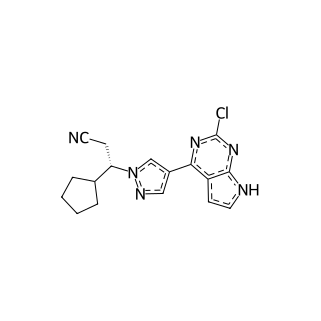 N#CC[C@@H](C1CCCC1)n1cc(-c2nc(Cl)nc3[nH]ccc23)cn1